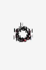 CC[C@H](C)[C@H]1C(=O)NCC(=O)N[C@H](C)CC(=O)N(C)[C@H](C)C(=O)N[C@@H](Cc2ccccc2)C(=O)N(C)[C@@H](CC(C)C)C(=O)N[C@@H](COC(C)(C)C)C(=O)N[C@@H](Cc2ccccc2)C(=O)N2CCC[C@H]2C(=O)N[C@@H]([C@@H](C)O)C(=O)N[C@@H](CC(C)C)C(=O)N(C)[C@@H](C)C(=O)N1C